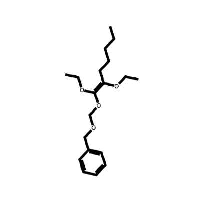 CCCCC/C(OCC)=C(\OCC)OCOCc1ccccc1